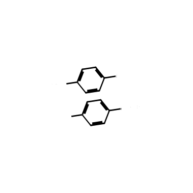 CCc1ccc(C(=O)[O-])cc1.CCc1ccc(C(=O)[O-])cc1.[Cd+2]